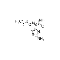 CCCO/N=C(/C([NH])=O)c1csc(N)n1